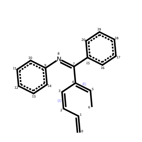 C=C/C=C\C(=C/C)C(=Nc1ccccc1)c1ccccc1